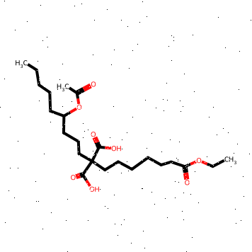 CCCCCC(CCCC(CCCCCCC(=O)OCC)(C(=O)O)C(=O)O)OC(C)=O